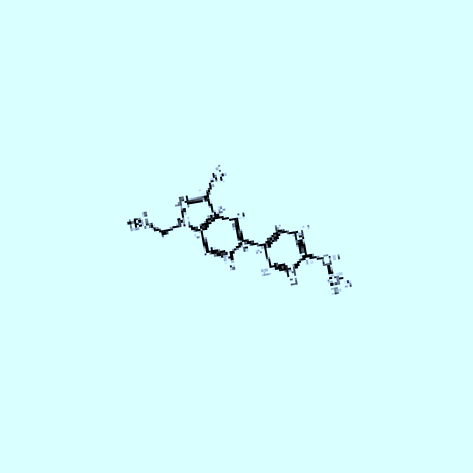 CC(=O)c1nn(CC(C)(C)C)c2cnc(-c3cnc(OC(F)(F)F)nc3)cc12